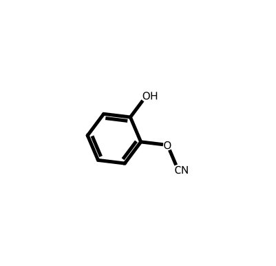 N#COc1ccccc1O